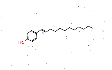 CCCCCCCCCC/C=C/c1ccc(O)cc1